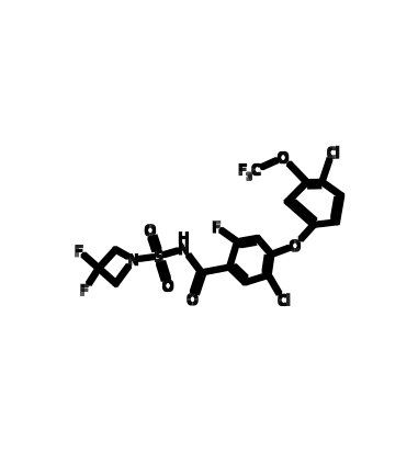 O=C(NS(=O)(=O)N1CC(F)(F)C1)c1cc(Cl)c(Oc2ccc(Cl)c(OC(F)(F)F)c2)cc1F